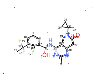 Cc1nc(NC(O)c2cccc(C(C)(F)F)c2F)c2cn(C3(C)CC3)c(=O)cc2n1